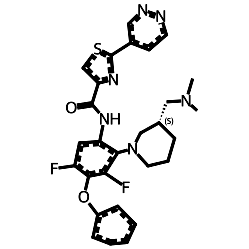 CN(C)C[C@@H]1CCCN(c2c(NC(=O)c3csc(-c4ccnnc4)n3)cc(F)c(Oc3ccccc3)c2F)C1